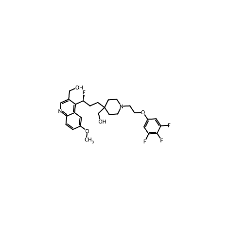 COc1ccc2ncc(CO)c([C@@H](F)CCC3(CO)CCN(CCOc4cc(F)c(F)c(F)c4)CC3)c2c1